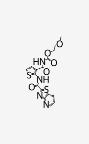 COCCOC(=O)NC(=O)c1ccsc1NC(=O)c1nc2ncccc2s1